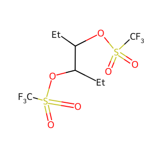 CCC(OS(=O)(=O)C(F)(F)F)C(CC)OS(=O)(=O)C(F)(F)F